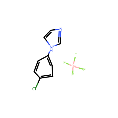 Clc1ccc([NH+]2C=CN=C2)cc1.F[B-](F)(F)F